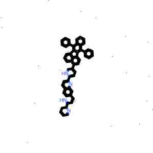 N=C(/C=C\c1ccc2ccc(C3=CC=C(c4ccc5c6c(cccc46)-c4c-5c(-c5ccccc5)c5ccccc5c4-c4ccccc4)CN3)nc2c1)C1CC=CC=N1